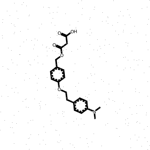 CN(C)c1ccc(CCOc2ccc(COC(=O)CC(=O)O)cc2)cc1